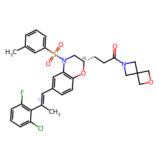 C/C(=C\c1ccc2c(c1)N(S(=O)(=O)c1cccc(C)c1)C[C@H](CCC(=O)N1CC3(COC3)C1)O2)c1c(F)cccc1Cl